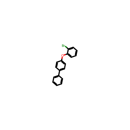 Brc1ccccc1Oc1ccc(-c2ccccc2)cc1